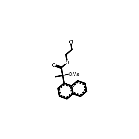 CO[C@@](C)(C(=O)OCCCl)c1cccc2ccccc12